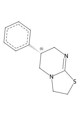 c1ccc([C@@H]2CN=C3SCCN3C2)cc1